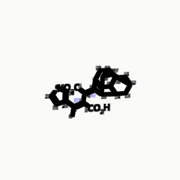 C/C(=C(C(=O)O)/C(C(=O)O)=C1/C2CC3C4CC5CC3C1C(C5)C4C2)c1ccsc1